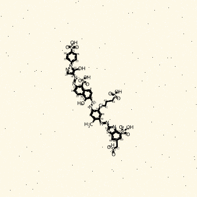 Cc1cc(N=Nc2ccc3c(S(=O)(=O)O)c(N=Nc4cnn(-c5ccc(S(=O)(=O)O)cc5)c4O)ccc3c2O)c(OCCCS(=O)(=O)O)cc1N=Nc1nc2c(S(=O)(=O)O)cc(C[SH](=O)=O)cc2s1